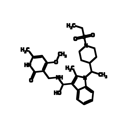 CCS(=O)(=O)N1CCC(C(C)n2c(C)c(C(O)NCc3c(OC)cc(C)[nH]c3=O)c3ccccc32)CC1